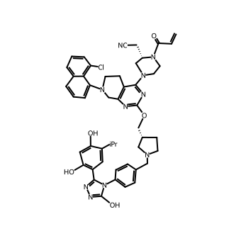 C=CC(=O)N1CCN(c2nc(OC[C@@H]3CCN(Cc4ccc(-n5c(O)nnc5-c5cc(C(C)C)c(O)cc5O)cc4)C3)nc3c2CCN(c2cccc4cccc(Cl)c24)C3)C[C@@H]1CC#N